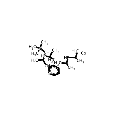 CC(C)PC(C)C.CC(C)PC(C)C.C[Si](C)(C)C.[Co].c1ccncc1